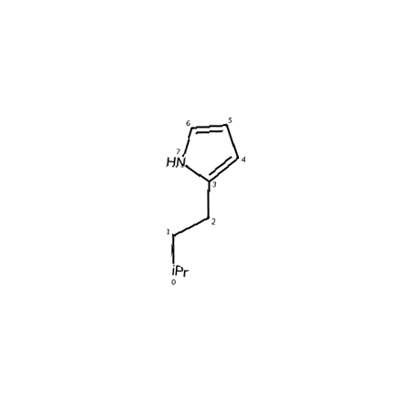 CC(C)CCc1ccc[nH]1